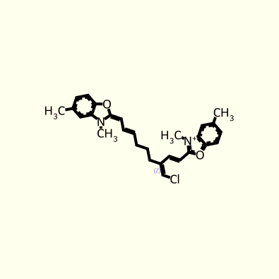 Cc1ccc2c(c1)N(C)C(=CC=CCCC/C(C=Cc1oc3ccc(C)cc3[n+]1C)=C/Cl)O2